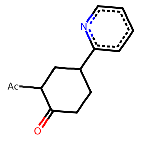 CC(=O)C1CC(c2ccccn2)CCC1=O